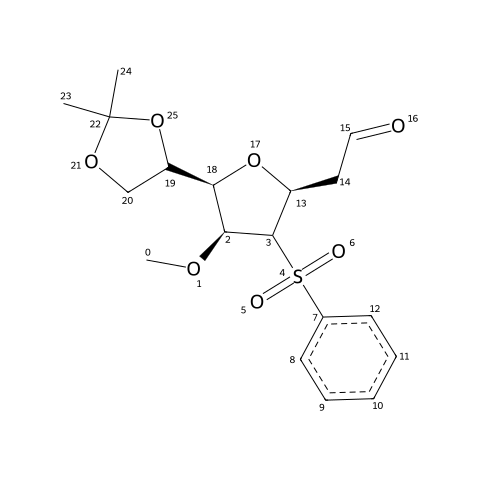 CO[C@@H]1C(S(=O)(=O)c2ccccc2)[C@H](CC=O)O[C@@H]1C1COC(C)(C)O1